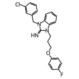 N=c1n(CCCOc2ccc(F)cc2)c2ccccc2n1Cc1cccc(Cl)c1